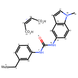 CNCc1cccc(NC(=O)Nc2ccc3c(ccn3C)c2)c1.O=C(O)/C=C\C(=O)O